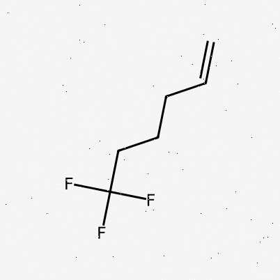 C=CCCCC(F)(F)F